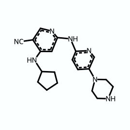 N#Cc1cnc(Nc2ccc(N3CCNCC3)cn2)cc1NC1CCCC1